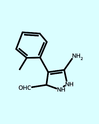 Cc1ccccc1C1=C(N)NNC1C=O